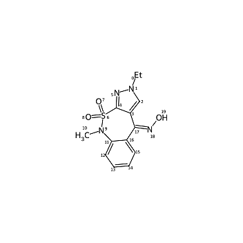 CCn1cc2c(n1)S(=O)(=O)N(C)c1ccccc1/C2=N/O